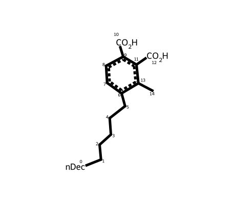 CCCCCCCCCCCCCCCc1ccc(C(=O)O)c(C(=O)O)c1C